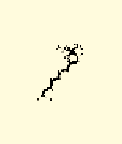 CCCCCOCC1COC(C)(C)O1